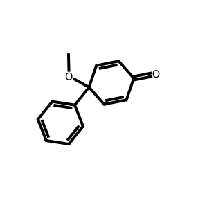 COC1(c2ccccc2)C=CC(=O)C=C1